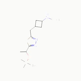 CC(O[Si](C)(C)C(C)(C)C)c1nnc(CC2CC(NC(=O)O)C2)s1